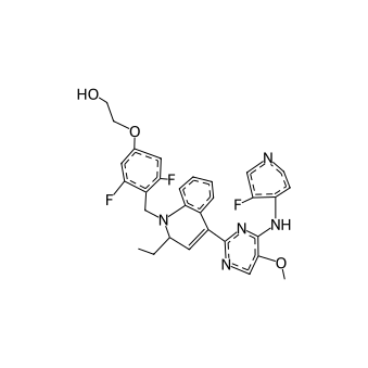 CCC1C=C(c2ncc(OC)c(Nc3ccncc3F)n2)c2ccccc2N1Cc1c(F)cc(OCCO)cc1F